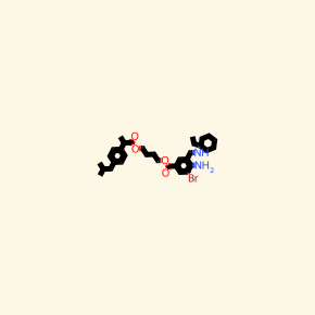 CCC1(NCc2cc(C(=O)OCCCCOC(=O)C(C)c3ccc(CC(C)C)cc3)cc(Br)c2N)CCCCC1